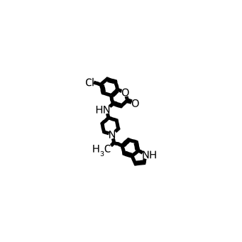 CC(c1ccc2[nH]ccc2c1)N1CCC(Nc2cc(=O)oc3ccc(Cl)cc23)CC1